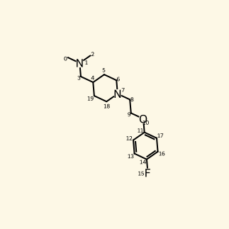 CN(C)CC1CCN(CCOc2ccc(F)cc2)CC1